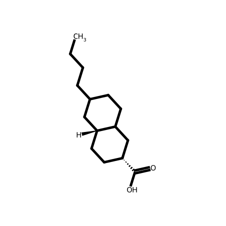 CCCCC1CCC2C[C@H](C(=O)O)CC[C@@H]2C1